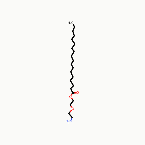 CCCCCCCCCCCCCCCCCC(=O)OCCOCCN